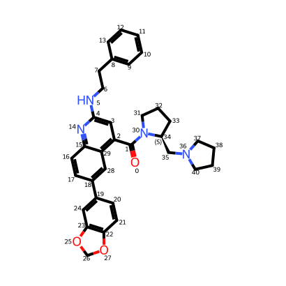 O=C(c1cc(NCCc2ccccc2)nc2ccc(-c3ccc4c(c3)OCO4)cc12)N1CCC[C@H]1CN1CCCC1